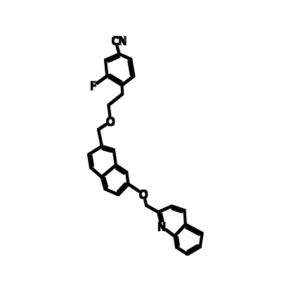 N#Cc1ccc(CCOCc2ccc3ccc(OCc4ccc5ccccc5n4)cc3c2)c(F)c1